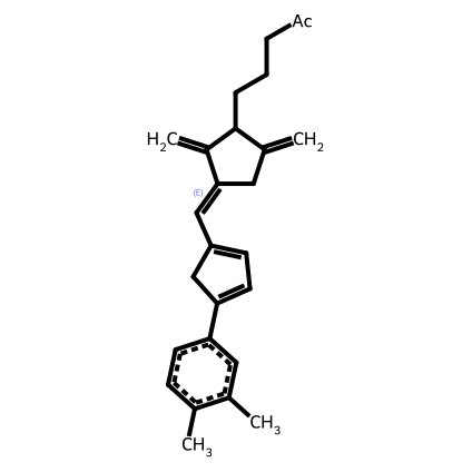 C=C1C/C(=C\C2=CC=C(c3ccc(C)c(C)c3)C2)C(=C)C1CCCC(C)=O